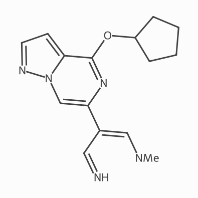 CN/C=C(\C=N)c1cn2nccc2c(OC2CCCC2)n1